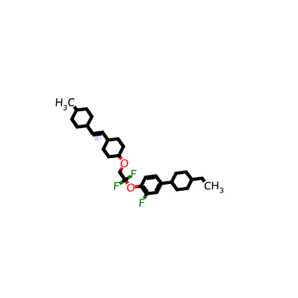 CCC1CCC(c2ccc(OC(F)(F)COC3CCC(/C=C/C4CCC(C)CC4)CC3)c(F)c2)CC1